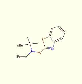 CCCCC(C)(C)N(CC(C)C)Sc1nc2ccccc2s1